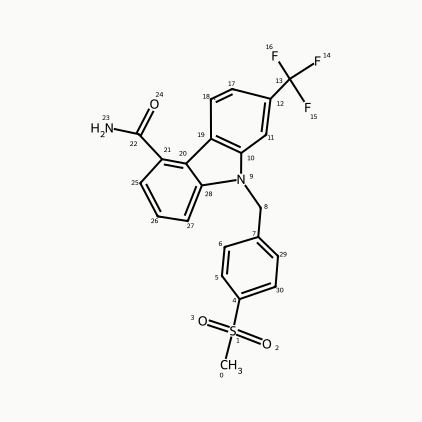 CS(=O)(=O)c1ccc(Cn2c3cc(C(F)(F)F)c[c]c3c3c(C(N)=O)cccc32)cc1